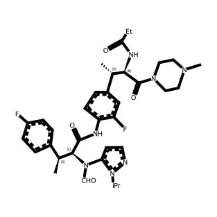 CCC(=O)N[C@@H](C(=O)N1CCN(C)CC1)[C@@H](C)c1ccc(NC(=O)[C@H]([C@@H](C)c2ccc(F)cc2)N(C=O)c2ccnn2C(C)C)c(F)c1